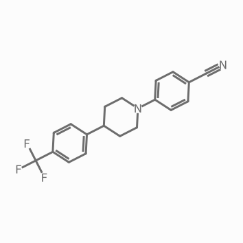 N#Cc1ccc(N2CCC(c3ccc(C(F)(F)F)cc3)CC2)cc1